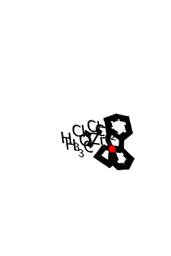 [CH2]=[Zr]([CH3])([CH3])([Cl])([Cl])([CH]1C=CC=C1)[CH]1c2ccccc2-c2ccccc21